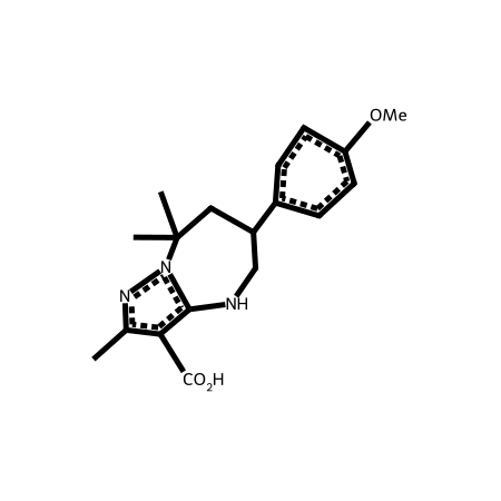 COc1ccc(C2CNc3c(C(=O)O)c(C)nn3C(C)(C)C2)cc1